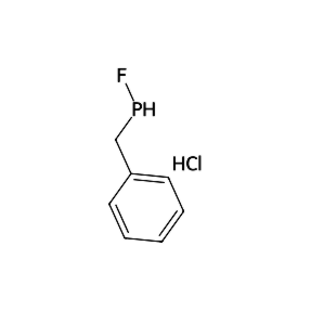 Cl.FPCc1ccccc1